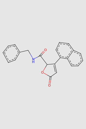 O=C1C=C(c2cccc3ccccc23)C(C(=O)NCc2ccccc2)O1